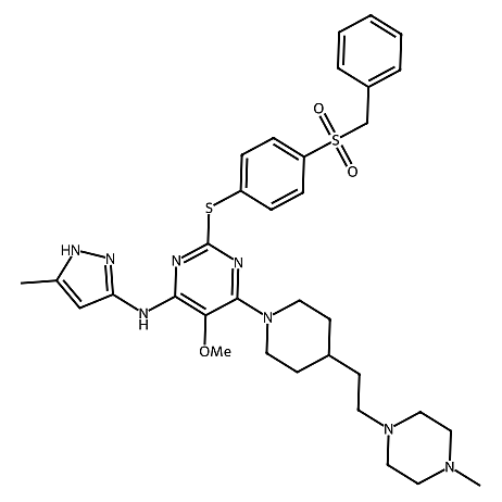 COc1c(Nc2cc(C)[nH]n2)nc(Sc2ccc(S(=O)(=O)Cc3ccccc3)cc2)nc1N1CCC(CCN2CCN(C)CC2)CC1